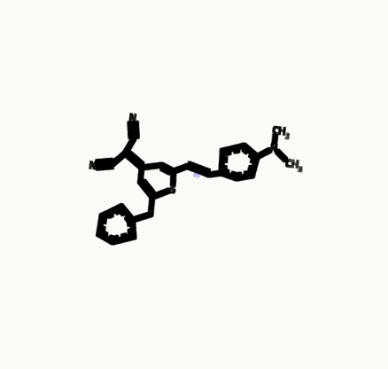 CN(C)c1ccc(/C=C/C2=CC(=C(C#N)C#N)C=C(Cc3ccccc3)S2)cc1